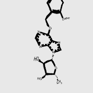 COC1=C(COc2ncnc3c2ncn3[C@@H]2O[C@H](C)[C@@H](O)[C@H]2O)C=CCC1